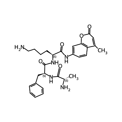 Cc1cc(=O)oc2cc(NC(=O)[C@H](CCCCN)NC(=O)[C@H](Cc3ccccc3)NC(=O)[C@H](C)N)ccc12